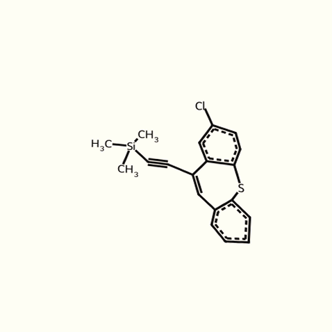 C[Si](C)(C)C#CC1=Cc2ccccc2Sc2ccc(Cl)cc21